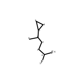 CC([CH]CC(F)F)C1CC1